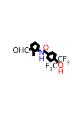 Cc1c(C=O)cccc1NC(=O)c1ccc(C(O)(C(F)(F)F)C(F)(F)F)cc1